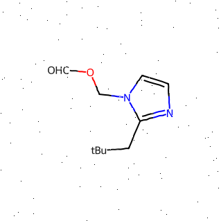 CC(C)(C)Cc1nccn1COC=O